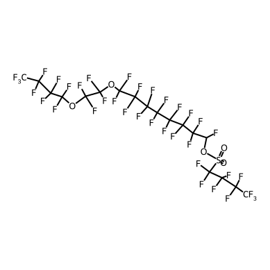 O=S(=O)(OC(F)C(F)(F)C(F)(F)C(F)(F)C(F)(F)C(F)(F)C(F)(F)C(F)(F)OC(F)(F)C(F)(F)OC(F)(F)C(F)(F)C(F)(F)C(F)(F)F)C(F)(F)C(F)(F)C(F)(F)C(F)(F)F